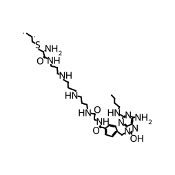 [CH2][CH]CSC[C@H](N)C(=O)NCCCNCCCCNCCCNC(=O)CNC(=O)c1ccc(Cn2c(O)nc3c(N)nc(NCCCC)nc32)cc1